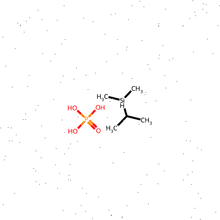 CC(C)[SiH](C)C.O=P(O)(O)O